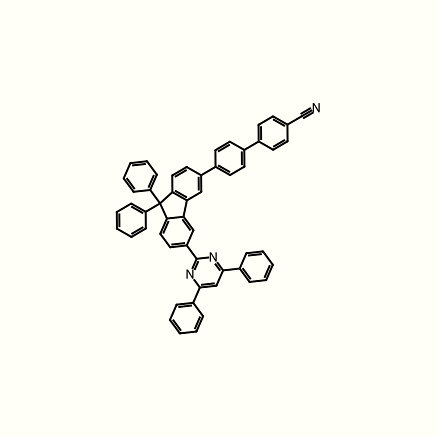 N#Cc1ccc(-c2ccc(-c3ccc4c(c3)-c3cc(-c5nc(-c6ccccc6)cc(-c6ccccc6)n5)ccc3C4(c3ccccc3)c3ccccc3)cc2)cc1